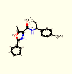 COc1ccc(C(CC(=O)O)NC(=O)c2nc(-c3ccccc3)oc2C)cc1